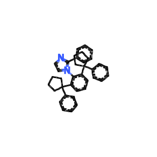 c1ccc(-c2nccn2-c2c(C3(c4ccccc4)CCCC3)cccc2C2(c3ccccc3)CCCC2)cc1